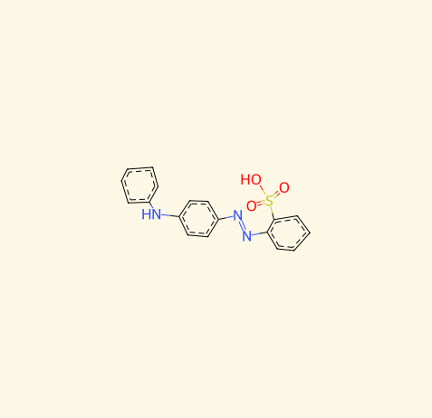 O=S(=O)(O)c1ccccc1N=Nc1ccc(Nc2ccccc2)cc1